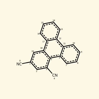 N#Cc1cc(C#N)c2c3ccccc3c3ccccc3c2c1